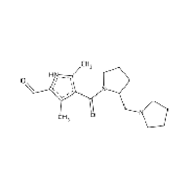 Cc1[nH]c(C=O)c(C)c1C(=O)N1CCCC1CN1CCCC1